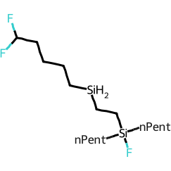 CCCCC[Si](F)(CCCCC)CC[SiH2]CCCCC(F)F